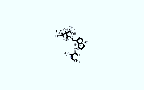 C/C=C(/C)C(=O)O[C@@H]1CC[N+]2([O-])CC=C(COC(=O)[C@@](O)([C@H](C)O)C(C)(C)O)[C@H]12